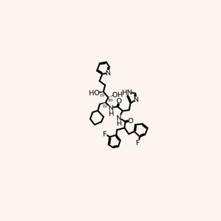 O=C(NC(Cc1c[nH]cn1)C(=O)N[C@@H](CC1CCCCC1)[C@@H](O)[C@@H](O)CCc1ccccn1)C(Cc1ccccc1F)Cc1ccccc1F